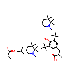 CC(C)C.CC(Cc1cc(C(C)(C)C)c(O)c(C(C)(C)C)c1)C(=O)O.CCC(=O)O.CN1CCCC(C)(C)C1(C)C.CN1CCCC(C)(C)C1(C)C